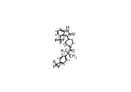 CC(C)(C(=O)N1CCC(n2c(=O)[nH]c3cccc(C(F)(F)F)c32)CC1)c1ccc(C(F)(F)F)cc1